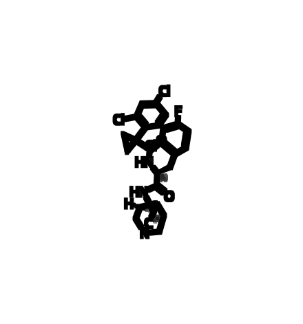 O=C(N[C@@H]1CN2CCC1CC2)[C@H](Cc1ccc(F)cc1Cl)NC(=O)C1(c2ccc(Cl)cc2Cl)CC1